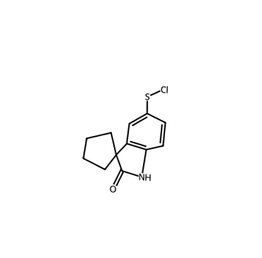 O=C1Nc2ccc(SCl)cc2C12CCCC2